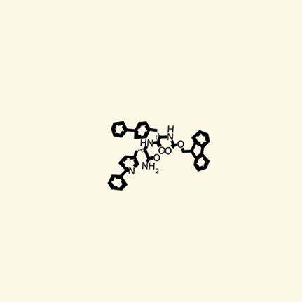 NC(=O)[C@H](Cc1ccc(-c2ccccc2)nc1)NC(=O)[C@H](Cc1ccc(-c2ccccc2)cc1)NC(=O)OCC1c2ccccc2-c2ccccc21